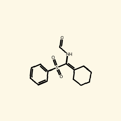 O=CNC(=C1CCCCC1)S(=O)(=O)c1ccccc1